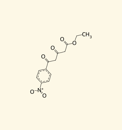 CCOC(=O)CC(=O)CC(=O)c1ccc([N+](=O)[O-])cc1